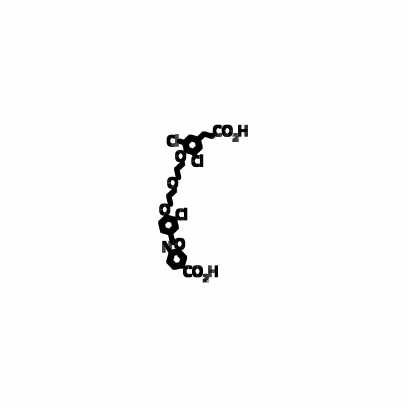 O=C(O)CCc1cc(Cl)c(OCCCOCCCOc2ccc(-c3nc4ccc(C(=O)O)cc4o3)cc2Cl)c(Cl)c1